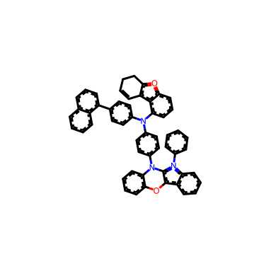 C1=Cc2c(oc3cccc(N(c4ccc(-c5cccc6ccccc56)cc4)c4ccc(N5c6ccccc6Oc6c5n(-c5ccccc5)c5ccccc65)cc4)c23)CC1